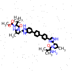 COC(=O)N[C@H](C(=O)N1C[C@@H](C)C[C@H]1c1nc2cc(-c3ccc(-c4ccc(-c5c[nH]c([C@@H]6C[C@H](C)CN6C(=O)[C@@H](N)C(C)C)n5)cc4)cc3)ccc2[nH]1)C(C)C